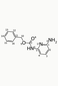 Nc1cccc(NC(=O)OCc2ccccc2)n1